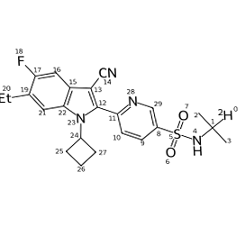 [2H]C(C)(C)NS(=O)(=O)c1ccc(-c2c(C#N)c3cc(F)c(CC)cc3n2C2CCC2)nc1